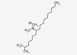 CCCCCCCCCCC(CCCCCC(C)C)N(C)C.I